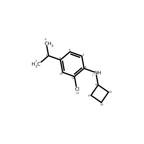 CC(C)c1ccc(NC2CCC2)c(Cl)c1